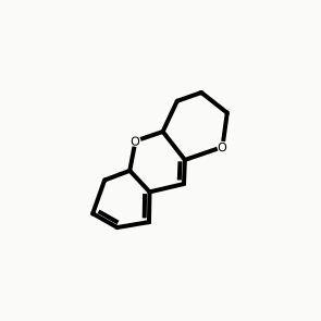 C1=CCC2OC3CCCOC3=CC2=C1